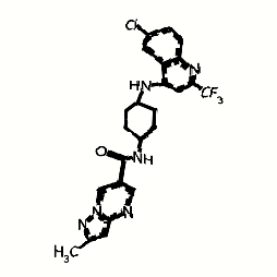 Cc1cc2ncc(C(=O)NC3CCC(Nc4cc(C(F)(F)F)nc5ccc(Cl)cc45)CC3)cn2n1